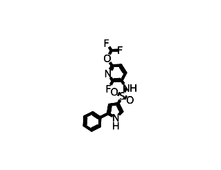 O=S(=O)(Nc1ccc(OC(F)F)nc1F)c1c[nH]c(-c2ccccc2)c1